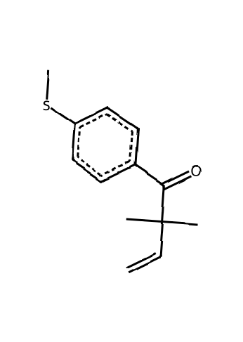 C=CC(C)(C)C(=O)c1ccc(SC)cc1